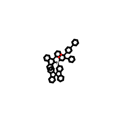 c1ccc(-c2ccc(-c3ccc(N(c4ccc5c(c4)C4(c6ccccc6-c6ccccc64)c4ccccc4-5)c4c(-c5ccccc5)c5ccccc5c5ccccc45)cc3-c3ccccc3)cc2)cc1